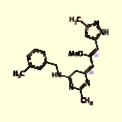 COC(=C\c1cc(C)n[nH]1)/C=C1\CC(NCc2cccc(C)c2)=NC(C)=N1